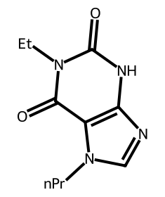 CCCn1cnc2[nH]c(=O)n(CC)c(=O)c21